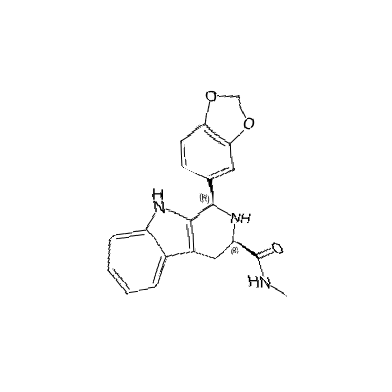 CNC(=O)[C@H]1Cc2c([nH]c3ccccc23)[C@@H](c2ccc3c(c2)OCO3)N1